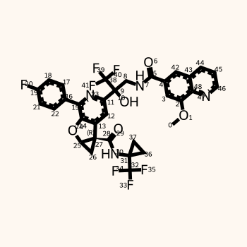 COc1cc(C(=O)NCC(O)(c2cc3c(c(-c4ccc(F)cc4)n2)OC2C[C@@]32C(=O)NC2(C(F)(F)F)CC2)C(F)(F)F)cc2cccnc12